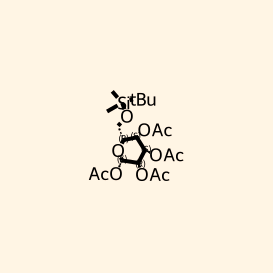 CC(=O)O[C@@H]1O[C@H](CO[Si](C)(C)C(C)(C)C)[C@H](OC(C)=O)[C@H](OC(C)=O)[C@H]1OC(C)=O